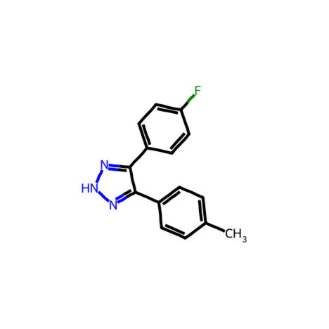 Cc1ccc(-c2n[nH]nc2-c2ccc(F)cc2)cc1